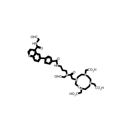 O=CCNC(=O)c1ccnc2ccc(-c3ccc(C(=O)NCCCN(CC=O)C(=O)CN4CCN(CC(=O)O)CCN(CC(=O)O)CCN(CC(=O)O)CC4)cc3)cc12